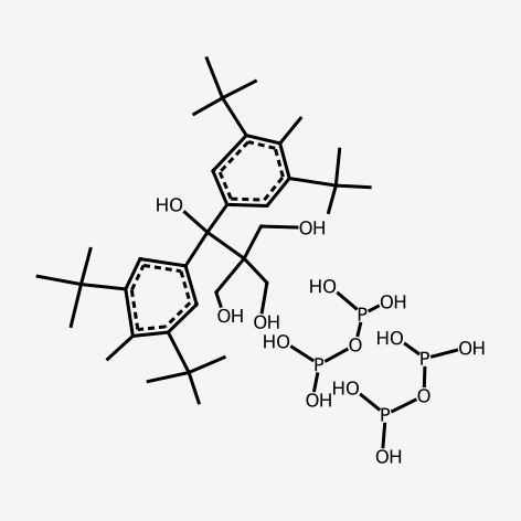 Cc1c(C(C)(C)C)cc(C(O)(c2cc(C(C)(C)C)c(C)c(C(C)(C)C)c2)C(CO)(CO)CO)cc1C(C)(C)C.OP(O)OP(O)O.OP(O)OP(O)O